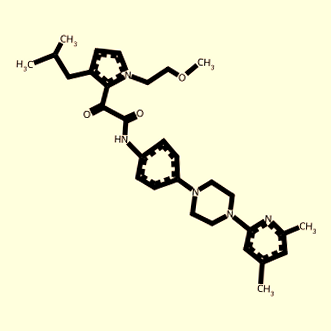 COCCn1ccc(CC(C)C)c1C(=O)C(=O)Nc1ccc(N2CCN(c3cc(C)cc(C)n3)CC2)cc1